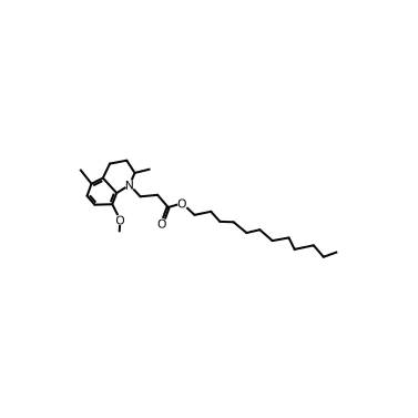 CCCCCCCCCCCCOC(=O)CCN1c2c(OC)ccc(C)c2CCC1C